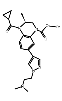 CC(C)OC(=O)N1C[C@H](C)N(C(=O)C2CC2)c2ccc(-c3cnn(CCN(C)C)c3)cc21